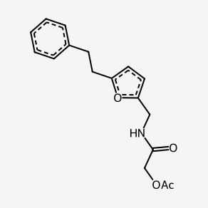 CC(=O)OCC(=O)NCc1ccc(CCc2ccccc2)o1